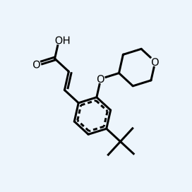 CC(C)(C)c1ccc(C=CC(=O)O)c(OC2CCOCC2)c1